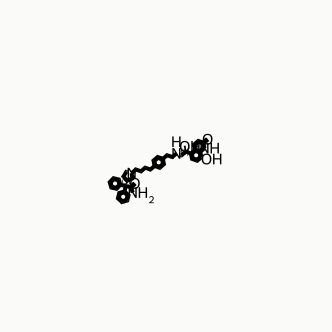 NC(=O)C(c1ccccc1)(c1ccccc1)[C@@H]1CCN(CCCCc2ccc(CCNC[C@@H](O)c3ccc(O)c4[nH]c(=O)ccc34)cc2)C1